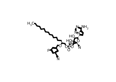 CCCCCCCCCCCCCC[C@@H](COP(=O)(O)OC1[C@@]2(C#N)O[C@@H](c3ccc4c(N)ncnn34)[C@H](O)[C@@]12O)OCc1cc(F)cc(C#N)c1